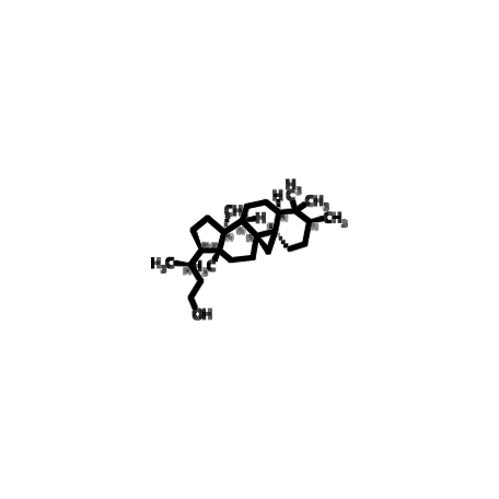 C[C@H](CCO)[C@H]1CC[C@@]2(C)[C@@H]3CC[C@H]4C(C)(C)[C@@H](C)CC[C@@]45C[C@@]35CC[C@]12C